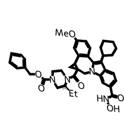 CC[C@H]1CN(C(=O)OCc2ccccc2)CCN1C(=O)C12CC1c1cc(OC)ccc1-c1c(C3CCCCC3)c3ccc(C(=O)NO)cc3n1C2